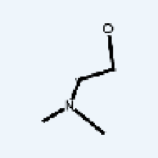 CN(C)[CH]C[O]